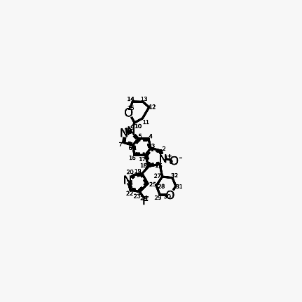 [O-][n+]1cc2cc3c(cnn3C3CCCCO3)cc2c(-c2cncc(F)c2)c1C1CCOCC1